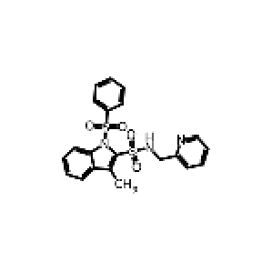 Cc1c(S(=O)(=O)NCc2ccccn2)n(S(=O)(=O)c2ccccc2)c2ccccc12